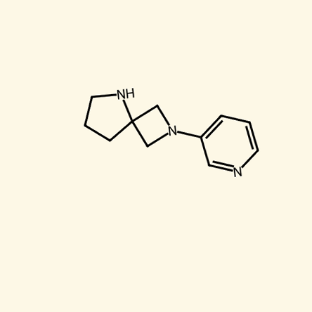 c1cncc(N2CC3(CCCN3)C2)c1